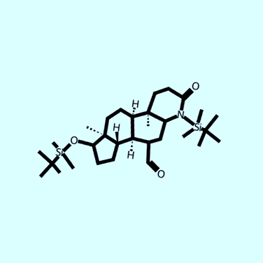 CC(C)(C)[Si](C)(C)OC1CC[C@H]2[C@@H]3C(C=O)CC4N([Si](C)(C)C(C)(C)C)C(=O)CC[C@]4(C)[C@@H]3CC[C@]12C